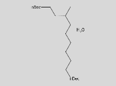 CCCCCCCCCCCCCCCCC(C)CCCCCCCCCCCC.O